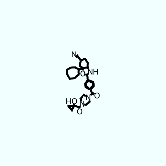 N#CC1CCC2NC(c3ccc(C(=O)N4CCN(C(=O)C5(O)CC5)CC4)cc3)OC2(C2CCCCCCC2)C1